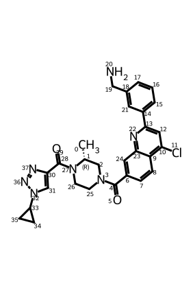 C[C@@H]1CN(C(=O)c2ccc3c(Cl)cc(-c4cccc(CN)c4)nc3c2)CCN1C(=O)c1cn(C2CC2)nn1